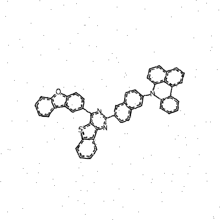 c1ccc2c(c1)-c1cccc3cccc(c13)N2c1ccc2cc(-c3nc(-c4ccc5oc6ccccc6c5c4)c4sc5ccccc5c4n3)ccc2c1